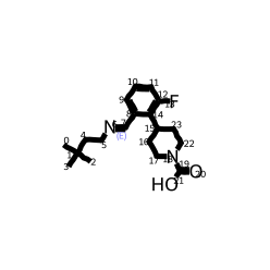 CC(C)(C)CC/N=C/c1cccc(F)c1C1CCN(C(=O)O)CC1